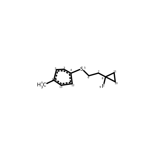 Cc1ccc(SCCC2(F)CC2)cc1